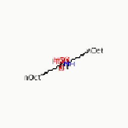 CCCCCCCCC=CCCCCCCCC(=O)NC(CC)(CO)C(O)C(=O)CCCCCCCC=CCCCCCCCC